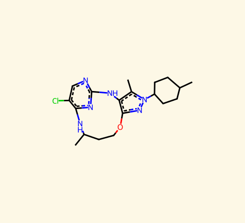 Cc1c2c(nn1C1CCC(C)CC1)OCCC(C)Nc1nc(ncc1Cl)N2